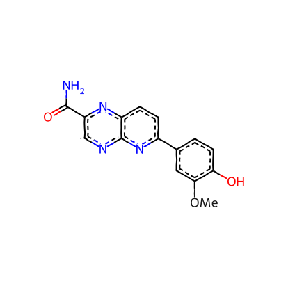 COc1cc(-c2ccc3nc(C(N)=O)[c]nc3n2)ccc1O